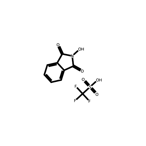 O=C1c2ccccc2C(=O)N1O.O=S(=O)(O)C(F)(F)F